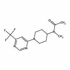 CC(=O)N(C)C1CCN(c2cc(C(F)(F)F)ncn2)CC1